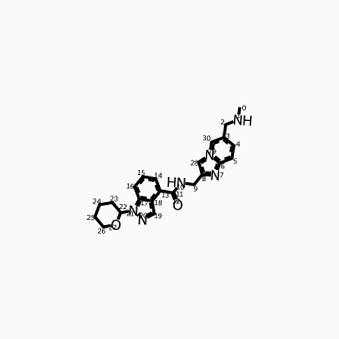 CNCc1ccc2nc(CNC(=O)c3cccc4c3cnn4C3CCCCO3)cn2c1